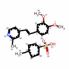 COc1ccc(C=Cc2ccnc(C)c2)cc1OC.Cc1ccc(S(=O)(=O)O)cc1